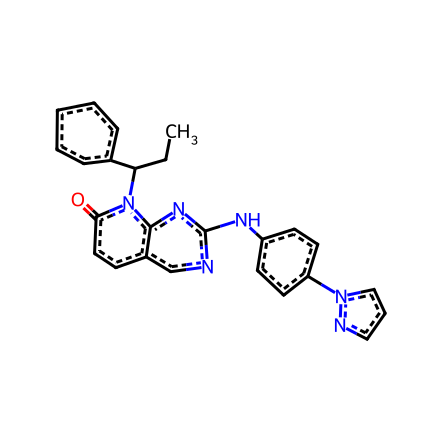 CCC(c1ccccc1)n1c(=O)ccc2cnc(Nc3ccc(-n4cccn4)cc3)nc21